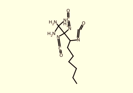 CCCCCCC(N=C=O)C(N=C=O)(N=C=O)C(N)(N)N